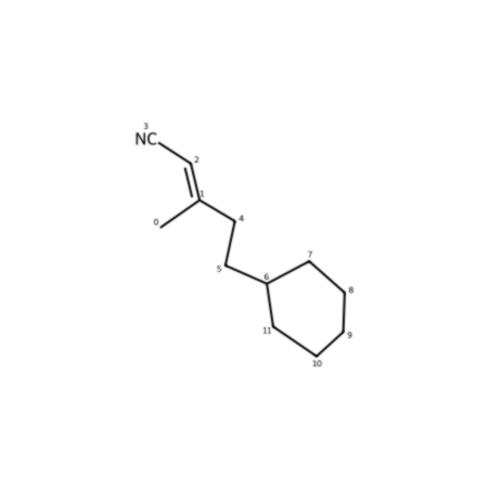 C/C(=C\C#N)CCC1CCCCC1